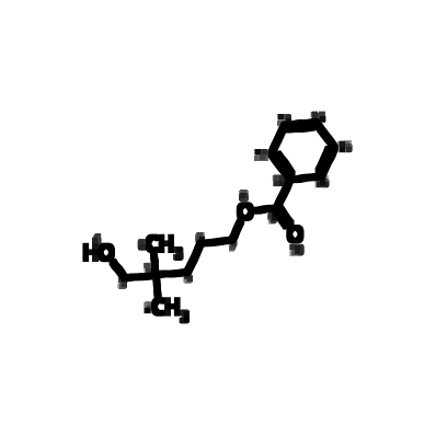 CC(C)(CO)CCCOC(=O)c1ccccc1